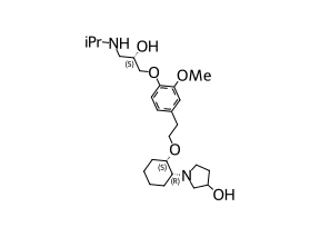 COc1cc(CCO[C@H]2CCCC[C@H]2N2CCC(O)C2)ccc1OC[C@@H](O)CNC(C)C